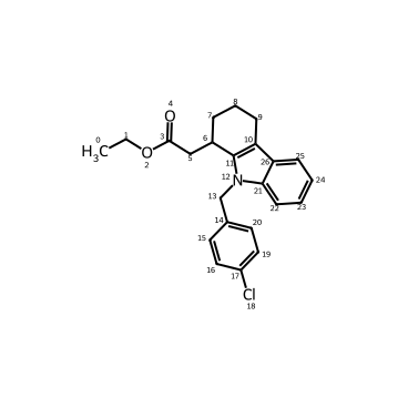 CCOC(=O)CC1CCCc2c1n(Cc1ccc(Cl)cc1)c1ccccc21